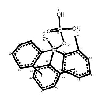 CCP(OP(=O)(O)O)(c1ccccc1C)(c1ccccc1C)c1ccccc1C